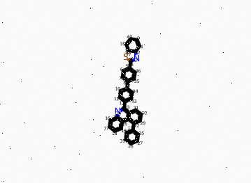 C1=CC2N=C(c3ccc(-c4ccc(-c5nc6ccccc6c6c(-c7ccccc7)cccc56)cc4)cc3)SC2C=C1